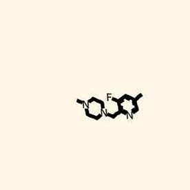 Cc1cnc(CN2CCN(C)CC2)c(F)c1